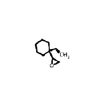 C=CC1(C2CO2)CCCCC1